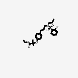 CCCN(CCCc1ccc(OC(C)(C)C(=O)OCC)cc1)S(=O)(=O)c1ccccc1Br